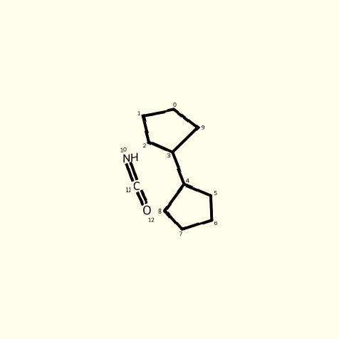 C1CCC(C2CCCC2)C1.N=C=O